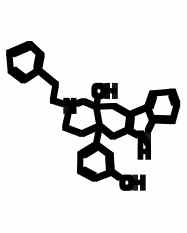 Oc1cccc(C23CCN(CCc4ccccc4)CC2(O)Cc2c([nH]c4ccccc24)C3)c1